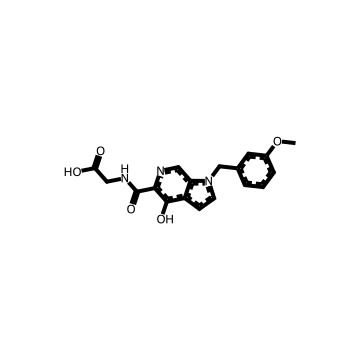 COc1cccc(Cn2ccc3c(O)c(C(=O)NCC(=O)O)ncc32)c1